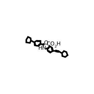 O=C(Nc1ccc(C#CC2CCCCC2)cc1C(=O)O)c1ccc(C2CCCCC2)cc1